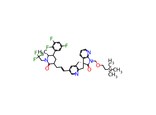 CC1C(c2cc(F)cc(F)c2F)CC(CC=Cc2cnc3c(c2)C[C@@]2(C3)C(=O)N(COCC[Si](C)(C)C)c3ncccc32)C(=O)N1CC(F)(F)F